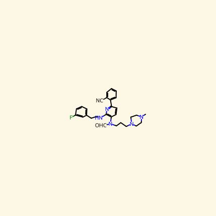 CN1CCN(CCCN(C=O)c2ccc(-c3ccccc3C#N)nc2NCCc2cccc(F)c2)CC1